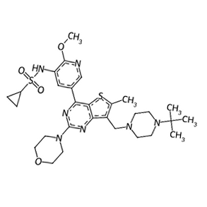 COc1ncc(-c2nc(N3CCOCC3)nc3c(CN4CCN(C(C)(C)C)CC4)c(C)sc23)cc1NS(=O)(=O)C1CC1